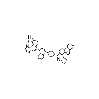 Cc1cccc2c(-c3ccc(-c4ccc(-c5nc6ccccc6c6c5ccc5c7ccccc7oc56)cc4)c4ccccc34)cc3cccnc3c12